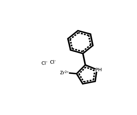 [Cl-].[Cl-].[Zr+2][c]1cc[pH]c1-c1ccccc1